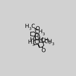 CC(=O)[C@H]1CC[C@H]2[C@@H]3CCC4=CC(=O)CC(C)(C)[C@]4(C)[C@H]3CC[C@]12C